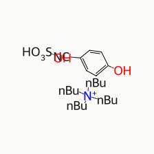 CCCC[N+](CCCC)(CCCC)CCCC.N#Cc1ccc(O)cc1.O=S(=O)(O)O